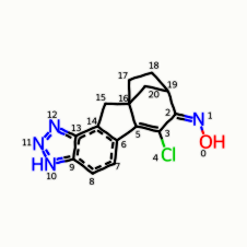 ON=C1C(Cl)=C2c3ccc4[nH]nnc4c3CC23CCC1C3